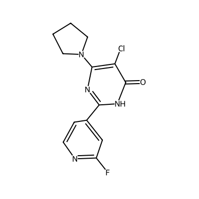 O=c1[nH]c(-c2ccnc(F)c2)nc(N2CCCC2)c1Cl